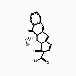 NC(=O)C1C=CC2=CC3=Cc4ccccc4C(=O)C3=CC2C1=O.O=S(=O)(O)O